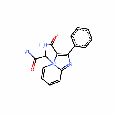 CC(C(N)=O)[N+]12C=C[C]=CC1=NC(c1ccccc1)=C2C(N)=O